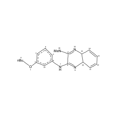 CCCCOc1cccc(NC2=NC3C=CC=CC3N=C2NC)c1